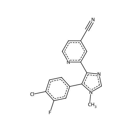 Cn1cnc(-c2cc(C#N)ccn2)c1-c1ccc(Cl)c(F)c1